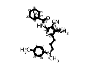 Cc1ccc(N(C)CCCc2sc(NC(=O)C3CC4CCC3CC4)c(C#N)c2C)cc1.Cl